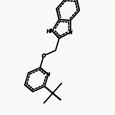 CC(C)(C)c1cccc(OCc2nc3ccccc3[nH]2)n1